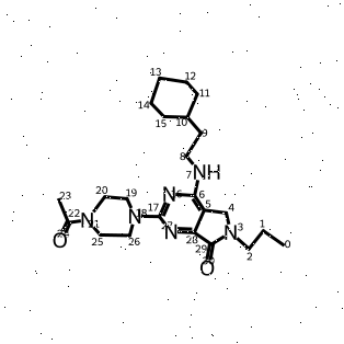 CCCN1Cc2c(NCCC3CCCCC3)nc(N3CCN(C(C)=O)CC3)nc2C1=O